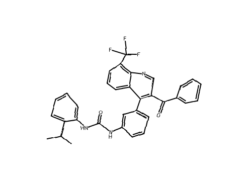 CC(C)c1ccccc1NC(=O)Nc1cccc(-c2c(C(=O)c3ccccc3)cnc3c(C(F)(F)F)cccc23)c1